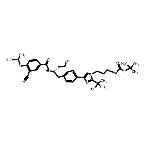 CC(C)Oc1ccc(C(=O)N[C@H](CCO)Cc2ccc(-c3cn(CCCNC(=O)OC(C)(C)C)c(C(C)(C)C)n3)cc2)cc1C#N